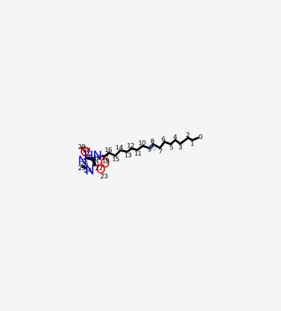 CCCCCCCC/C=C/CCCCCCCC(=O)Nc1c(OC)ncnc1OC